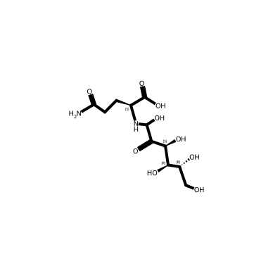 NC(=O)CC[C@H](NC(O)C(=O)[C@@H](O)[C@H](O)[C@H](O)CO)C(=O)O